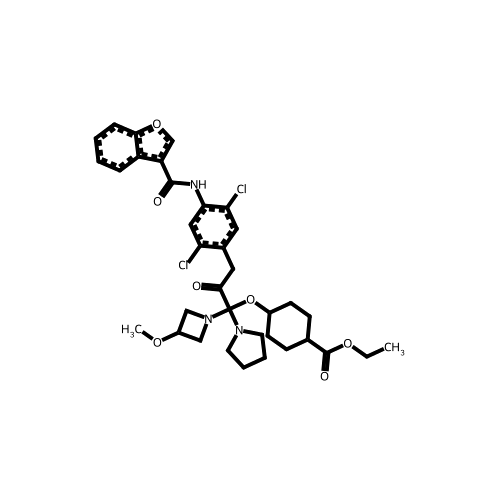 CCOC(=O)C1CCC(OC(C(=O)Cc2cc(Cl)c(NC(=O)c3coc4ccccc34)cc2Cl)(N2CCCC2)N2CC(OC)C2)CC1